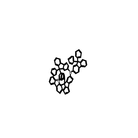 c1ccc(C2(c3ccccc3)c3ccccc3-c3ccc(N(c4ccc5c(c4)C(c4ccccc4)(c4ccccc4)c4ccccc4-5)c4ccc5c(c4)C4(c6ccccc6-5)c5ccccc5-n5c6ccccc6c6cccc4c65)cc32)cc1